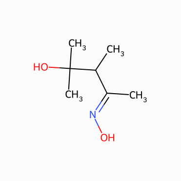 C/C(=N\O)C(C)C(C)(C)O